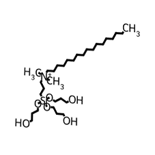 CCCCCCCCCCCCCCCCC[N+](C)(C)CCC[Si](OCCCO)(OCCCO)OCCCO